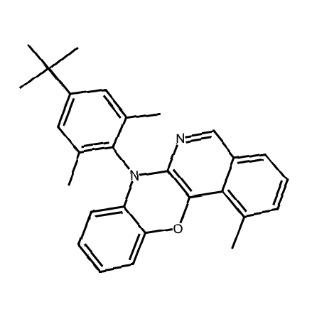 Cc1cc(C(C)(C)C)cc(C)c1N1c2ccccc2Oc2c1ncc1cccc(C)c21